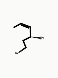 C/C=C\[C@H](CCC(C)=O)C(C)C